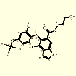 O=C(NOCCO)c1cc2scnc2c(F)c1Nc1ccc(OC(F)(F)F)cc1Cl